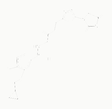 C[C@@H](NCC(=O)CCc1ncc(N2CC(=S)NC2=O)o1)c1ccc(F)c(OCC2CC2)c1